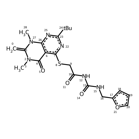 C=C1N(C)C(=O)c2c(SCC(=O)NC(=O)NCc3ccco3)nc(C(C)(C)C)nc2N1C